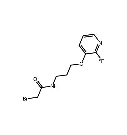 O=C(CBr)NCCCOc1cccnc1[18F]